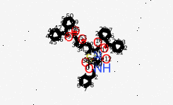 O=C(Cc1ccccc1)N[C@@H]1C(=O)N2C(C(=O)OC(c3ccccc3)c3ccccc3)=C(Cc3ccc(C(=O)OC(c4ccccc4)c4ccccc4)o3)C[S+]([O-])[C@H]12